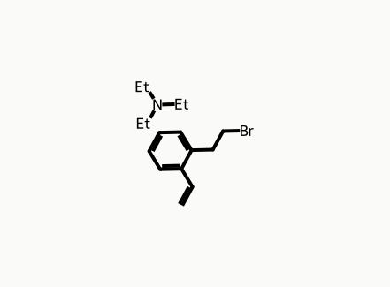 C=Cc1ccccc1CCBr.CCN(CC)CC